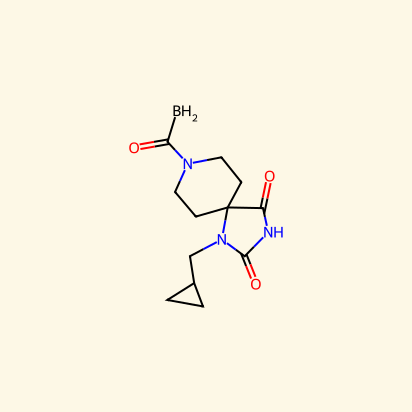 BC(=O)N1CCC2(CC1)C(=O)NC(=O)N2CC1CC1